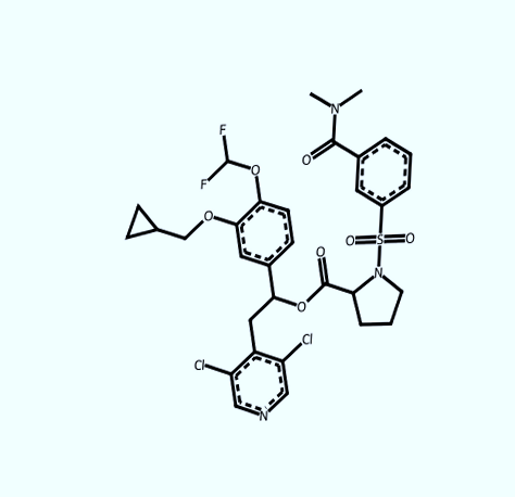 CN(C)C(=O)c1cccc(S(=O)(=O)N2CCCC2C(=O)OC(Cc2c(Cl)cncc2Cl)c2ccc(OC(F)F)c(OCC3CC3)c2)c1